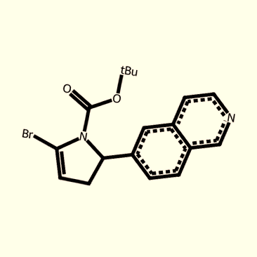 CC(C)(C)OC(=O)N1C(Br)=CCC1c1ccc2cnccc2c1